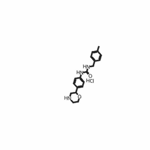 Cc1ccc(CNC(=O)Nc2ccc(C3CNCCO3)cc2)cc1.Cl